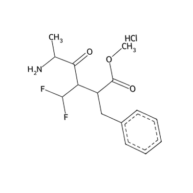 COC(=O)C(Cc1ccccc1)C(C(=O)C(C)N)C(F)F.Cl